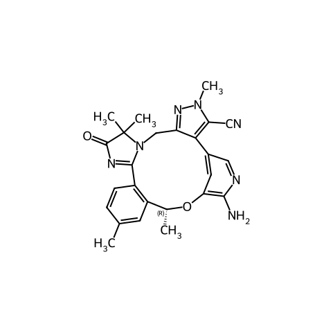 Cc1ccc2c(c1)[C@@H](C)Oc1cc(cnc1N)-c1c(nn(C)c1C#N)CN1C2=NC(=O)C1(C)C